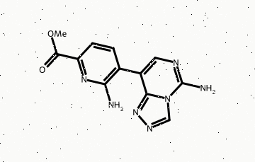 COC(=O)c1ccc(-c2cnc(N)n3cnnc23)c(N)n1